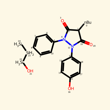 CCCCC1C(=O)N(c2ccccc2)N(c2ccc(O)cc2)C1=O.O[SiH2][SiH2][SiH3]